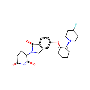 O=C1CCC(N2Cc3cc(O[C@@H]4CCCC[C@@H]4N4CCC(F)CC4)ccc3C2=O)C(=O)N1